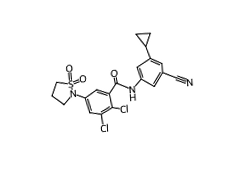 N#Cc1cc(NC(=O)c2cc(N3CCCS3(=O)=O)cc(Cl)c2Cl)cc(C2CC2)c1